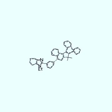 CCn1c(-c2cccc(-c3cc4c(c5ccccc35)-c3c(c5ccccc5c5ccccc35)C4(C)C)c2)nc2ccccc21